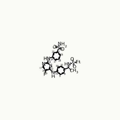 CCS(=O)(=O)N[C@@H](C)c1ccc(Nc2nc(Nc3cccc(S(N)(=O)=O)c3)ncc2F)cc1